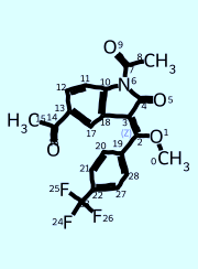 CO/C(=C1\C(=O)N(C(C)=O)c2ccc(C(C)=O)cc21)c1ccc(C(F)(F)F)cc1